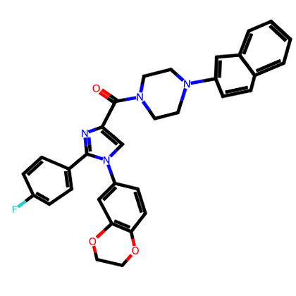 O=C(c1cn(-c2ccc3c(c2)OCCO3)c(-c2ccc(F)cc2)n1)N1CCN(c2ccc3ccccc3c2)CC1